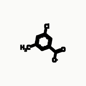 Cc1cc(Cl)cc(C([O])=O)c1